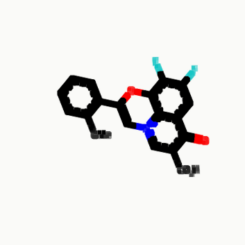 COc1ccccc1C1=Cn2cc(C(=O)O)c(=O)c3cc(F)c(F)c(c32)O1